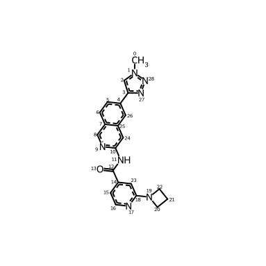 Cn1cc(-c2ccc3cnc(NC(=O)c4ccnc(N5CCC5)c4)cc3c2)nn1